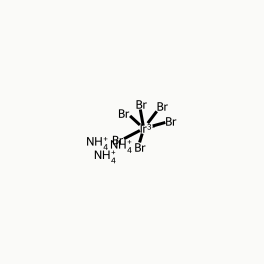 [Br][Ir-3]([Br])([Br])([Br])([Br])[Br].[NH4+].[NH4+].[NH4+]